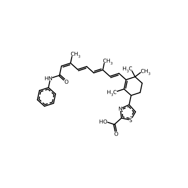 CC1=C(/C=C/C(C)=C/C=C/C(C)=C\C(=O)Nc2ccccc2)C(C)(C)CCC1c1csc(C(=O)O)n1